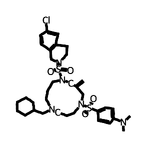 C=C1CN(S(=O)(=O)c2ccc(N(C)C)cc2)CCCN(CC2CCCCC2)CCCN(S(=O)(=O)N2CCc3cc(Cl)ccc3C2)C1